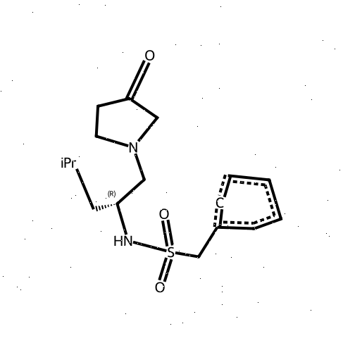 CC(C)C[C@H](CN1CCC(=O)C1)NS(=O)(=O)Cc1ccccc1